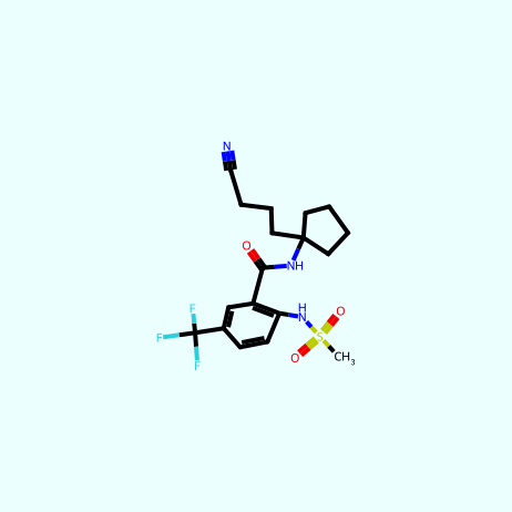 CS(=O)(=O)Nc1ccc(C(F)(F)F)cc1C(=O)NC1(CCCC#N)CCCC1